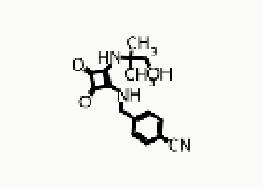 CC(C)(CO)Nc1c(NCc2ccc(C#N)cc2)c(=O)c1=O